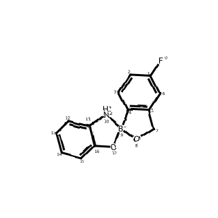 Fc1ccc2c(c1)CO[B-]21[NH2+]c2ccccc2O1